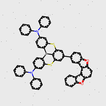 c1ccc(N(c2ccccc2)c2ccc3c(c2)Sc2cc(-c4ccc5oc6ccc7oc8ccccc8c7c6c5c4)cc4c2B3c2ccc(N(c3ccccc3)c3ccccc3)cc2S4)cc1